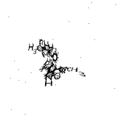 CCn1cc(-c2nc(NC3CCCCC3NC(=O)OC(C)(C)C)c(F)c3c2C(=O)NC3)cn1